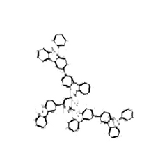 c1ccc(-n2c3ccccc3c3cc(-c4ccc5c(c4)c4ccccc4n5-c4cc(-c5ccc6oc7ccccc7c6c5)nc(-n5c6ccccc6c6cc(-c7ccc8c(c7)c7ccccc7n8-c7ccccc7)ccc65)n4)ccc32)cc1